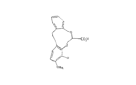 COc1ccc2c(c1Cl)OC(C(=O)O)Oc1ccccc1C2